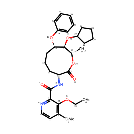 COc1ccnc(C(=O)N[C@H]2CCC[C@H](Oc3ccccc3)[C@@H](OC3CCCC3)[C@H](C)OC2=O)c1OCOC(C)=O